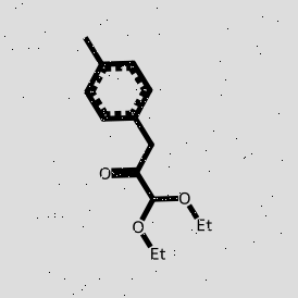 CCOC(OCC)C(=O)Cc1ccc(C)cc1